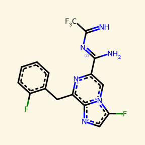 N=C(/N=C(\N)c1cn2c(F)cnc2c(Cc2ccccc2F)n1)C(F)(F)F